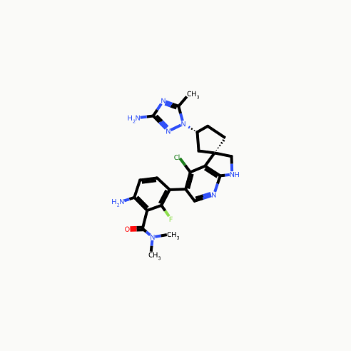 Cc1nc(N)nn1[C@@H]1CC[C@@]2(CNc3ncc(-c4ccc(N)c(C(=O)N(C)C)c4F)c(Cl)c32)C1